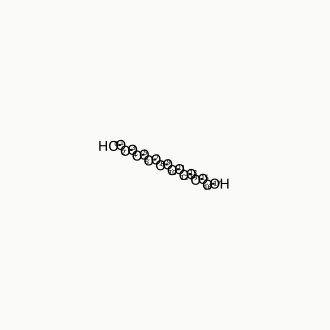 OOOOOOOOOOOOOOOOOO